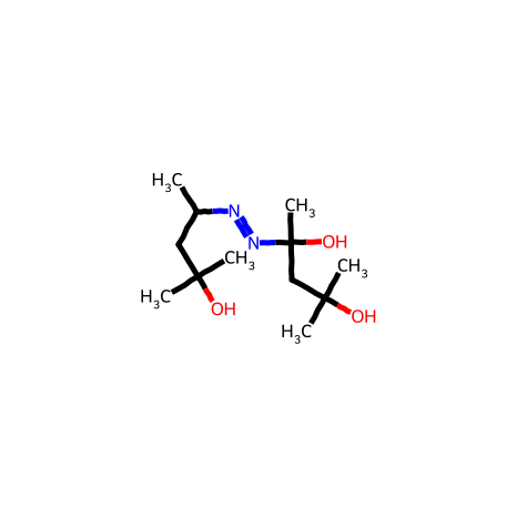 CC(CC(C)(C)O)N=NC(C)(O)CC(C)(C)O